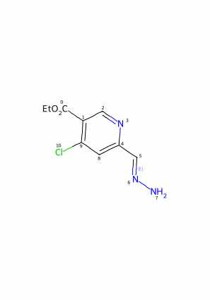 CCOC(=O)c1cnc(/C=N/N)cc1Cl